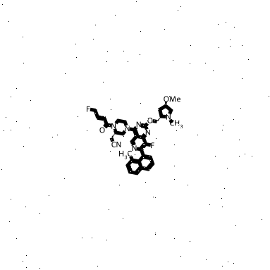 CO[C@@H]1C[C@@H](COc2nc(N3CCN(C(=O)/C=C/CF)[C@@H](CC#N)C3)c3cnc(-c4cccc5cccc(C)c45)c(F)c3n2)N(C)C1